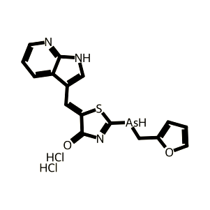 Cl.Cl.O=C1N=C([AsH]Cc2ccco2)SC1=Cc1c[nH]c2ncccc12